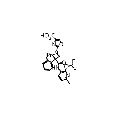 Cc1ccc(NC(=O)C2(c3ccccc3C(C)C)CN(c3nc(C(=O)O)co3)C2)c(OC(F)F)n1